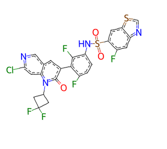 O=c1c(-c2c(F)ccc(NS(=O)(=O)c3cc4scnc4cc3F)c2F)cc2cnc(Cl)cc2n1C1CC(F)(F)C1